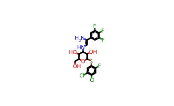 N/C(=C\NC1C(O)C(CO)OC(Sc2cc(Cl)c(Cl)cc2F)C1O)c1cc(F)c(F)c(F)c1